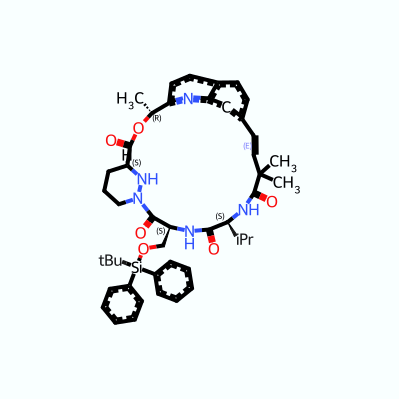 CC(C)[C@@H]1NC(=O)C(C)(C)/C=C/c2ccc3ccc(nc3c2)[C@@H](C)OC(=O)[C@@H]2CCCN(N2)C(=O)[C@H](CO[Si](c2ccccc2)(c2ccccc2)C(C)(C)C)NC1=O